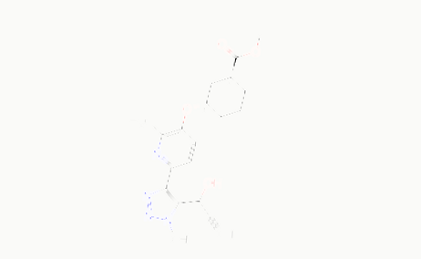 C#CC(O)c1c(-c2ccc(O[C@H]3CCC[C@H](C(=O)OC)C3)c(C)n2)nnn1C